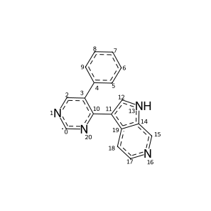 [c]1ncc(-c2ccccc2)c(-c2c[nH]c3cnccc23)n1